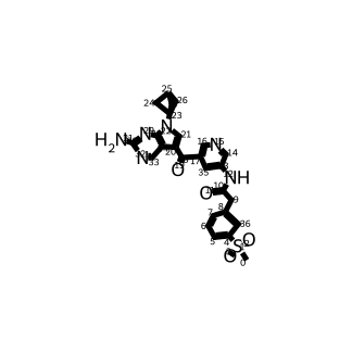 CS(=O)(=O)c1cccc(CC(=O)Nc2cncc(C(=O)c3cn(C45CC(C4)C5)c4nc(N)ncc34)c2)c1